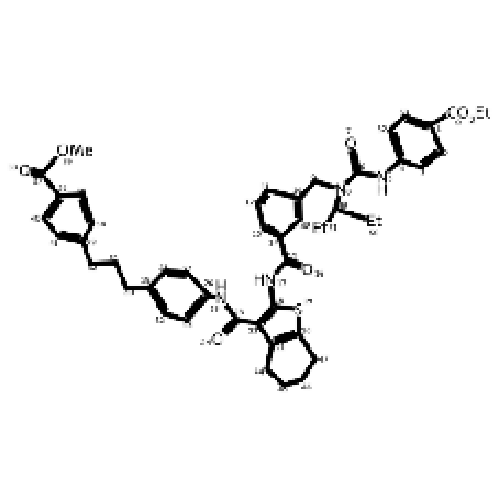 CCOC(=O)c1ccc(NC(=O)N(Cc2cccc(C(=O)Nc3sc4c(c3C(=O)Nc3ccc(CCCc5ccc(C(=O)OC)cc5)cc3)CCCC4)c2)C(CC)CC)cc1